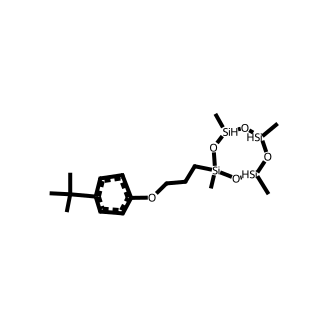 C[SiH]1O[SiH](C)O[Si](C)(CCCOc2ccc(C(C)(C)C)cc2)O[SiH](C)O1